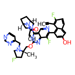 C#Cc1c(F)ccc2cc(O)cc(-c3ncc4c(N5C[C@H]6CC[C@@H](C5)N6C(=O)C=C)nc(OC[C@]5(C)C[C@@H](F)CN5Cc5ccncn5)nc4c3F)c12